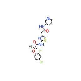 CCC(C)(Oc1ccc(F)cc1F)C(=O)Nc1nc(CC(=O)Nc2cccnc2)cs1